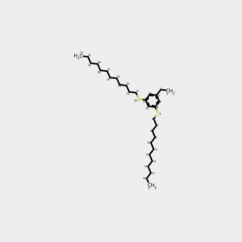 [CH2]Cc1cc(SCCCCCCCCCCCC)cc(SCCCCCCCCCCCC)c1